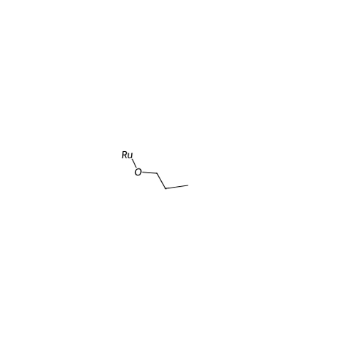 CCC[O][Ru]